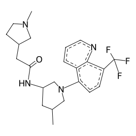 CC1CC(NC(=O)CC2CCN(C)C2)CN(c2ccc(C(F)(F)F)c3ncccc23)C1